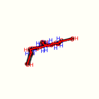 N=C(COCCOCCNC(=O)COCCOCCNC(=O)CC[C@H](NC(=O)[C@H]1CC[C@H](CNC(=O)CCCCCCCCCCCCCCCCCCC(=O)O)CC1)C(=O)O)N[C@@H](CCCCNC(=O)COCCOCCNC(=O)COCCOCCNC(=O)CC[C@H](NC(=O)[C@H]1CC[C@H](CNC(=O)CCCCCCCCCCCCCCCCCCC(=O)O)CC1)C(=O)O)C(=O)NCCCC[C@H](NI)C(=O)O